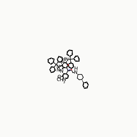 COc1cc(/C(=C\CN[C@H]2CC[C@H](c3ccccc3)CC2)c2cc(NC(c3ccccc3)(c3ccccc3)c3ccccc3)nc3c2nnn3C(c2ccccc2)(c2ccccc2)c2ccccc2)ccn1